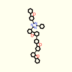 c1ccc(-c2nc(-c3ccc4c(c3)oc3ccccc34)nc(-c3cccc4oc5c(-c6ccc7c(c6)oc6ccc(-c8cccc9c8oc8ccccc89)cc67)cccc5c34)n2)cc1